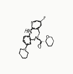 O=C([C@H]1CCCCO1)N1Cc2cc(F)cnc2Nc2ccc(N3CCCCC3)cc21